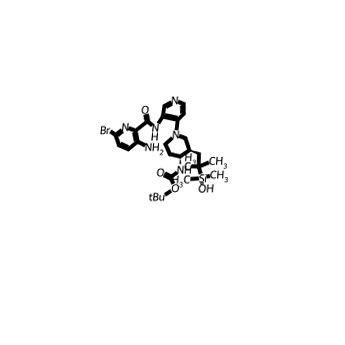 CC(C)(C)OC(=O)N[C@@H]1CCN(c2ccncc2NC(=O)c2nc(Br)ccc2N)C[C@H]1CC(C)(C)[Si](C)(C)O